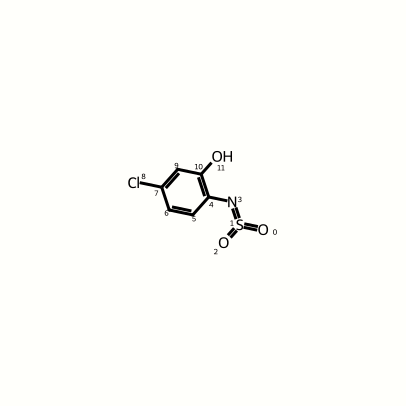 O=S(=O)=Nc1ccc(Cl)cc1O